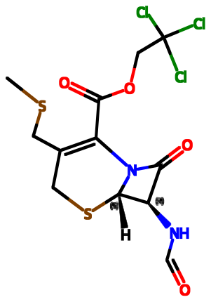 CSCC1=C(C(=O)OCC(Cl)(Cl)Cl)N2C(=O)[C@@H](NC=O)[C@@H]2SC1